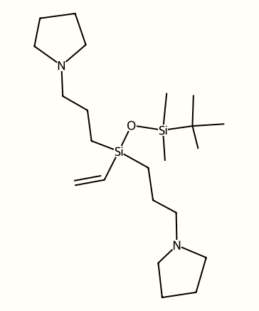 C=C[Si](CCCN1CCCC1)(CCCN1CCCC1)O[Si](C)(C)C(C)(C)C